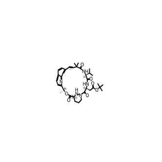 CC(C)[C@@H]1NC(=O)C(C)(C)/C=C/c2ccc3ccc(nc3c2)[C@@H](C)OC(=O)[C@@H]2CCCN(N2)C(=O)[C@H](CC(=O)OC(C)(C)C)NC1=O